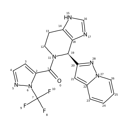 O=C(c1ccnn1C(F)(F)F)N1CCc2[nH]cnc2[C@H]1c1cc2ccccn2n1